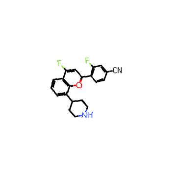 N#Cc1ccc(C2C=C(F)c3cccc(C4CCNCC4)c3O2)c(F)c1